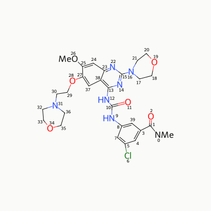 CNC(=O)c1cc(Cl)cc(NC(=O)Nc2nc(N3CCOCC3)nc3cc(OC)c(OCCN4CCOCC4)cc23)c1